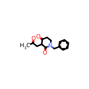 CC(=O)CC1C(=O)CCN(Cc2ccccc2)C1=O